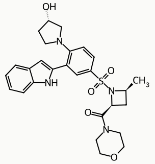 C[C@H]1C[C@@H](C(=O)N2CCOCC2)N1S(=O)(=O)c1ccc(N2CC[C@H](O)C2)c(-c2cc3ccccc3[nH]2)c1